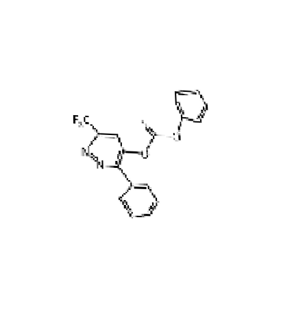 FC(F)(F)c1cc(OC(=S)Oc2ccccc2)c(-c2ccccc2)nn1